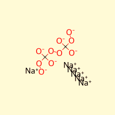 [Na+].[Na+].[Na+].[Na+].[Na+].[Na+].[O-]OC([O-])([O-])OOC([O-])([O-])O[O-]